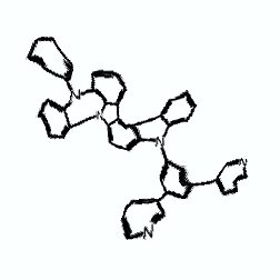 c1ccc(N2c3ccccc3-n3c4ccc5c(c6ccccc6n5-c5cc(-c6cccnc6)cc(-c6cccnc6)c5)c4c4cccc2c43)cc1